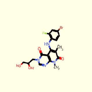 Cc1c(Nc2ccc(Br)cc2F)c2c(=O)n(CC(O)CO)cnc2n(C)c1=O